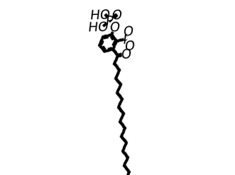 CCCCCCCCCCCCCCCCCC(=O)c1cccc(OP(=O)(O)O)c1I(=O)=O